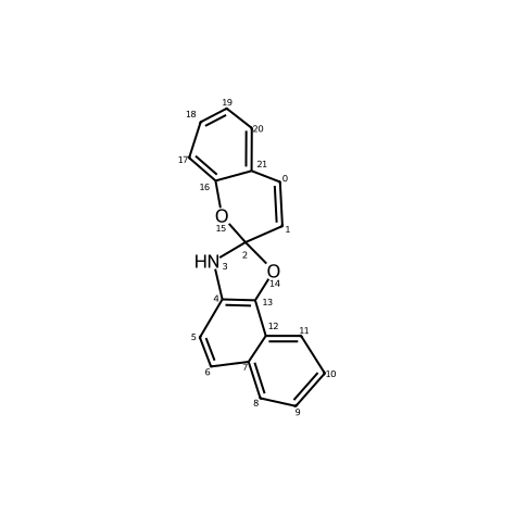 C1=CC2(Nc3ccc4ccccc4c3O2)Oc2ccccc21